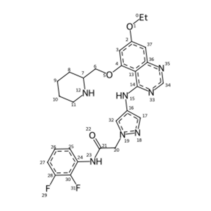 CCOc1cc(OCC2CCCCN2)c2c(Nc3cnn(CC(=O)Nc4cccc(F)c4F)c3)ncnc2c1